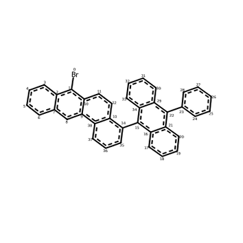 Brc1c2ccccc2cc2c1ccc1c(-c3c4ccccc4c(-c4ccccc4)c4ccccc34)cccc12